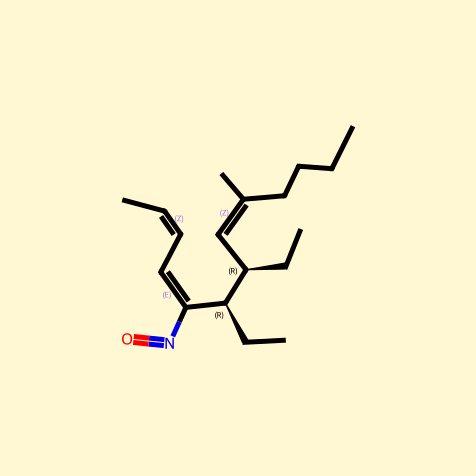 C/C=C\C=C(\N=O)[C@H](CC)[C@@H](/C=C(/C)CCCC)CC